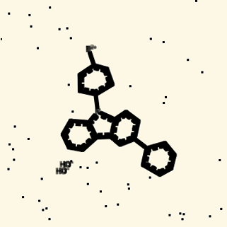 [B+2]c1ccc(-n2c3ccccc3c3cc(-c4ccccc4)ccc32)cc1.[OH-].[OH-]